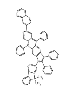 CC1(C)c2ccccc2-c2ccc(-n3c(-c4ccccc4)c(-c4ccccc4)c4cc5c(-c6ccccc6)c6cc(-c7ccc8ccccc8c7)ccc6c(-c6ccccc6)c5cc43)cc21